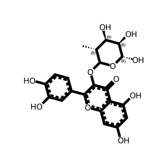 C[C@H]1C(Oc2c(-c3ccc(O)c(O)c3)oc3cc(O)cc(O)c3c2=O)O[C@@H](O)[C@H](O)[C@@H]1O